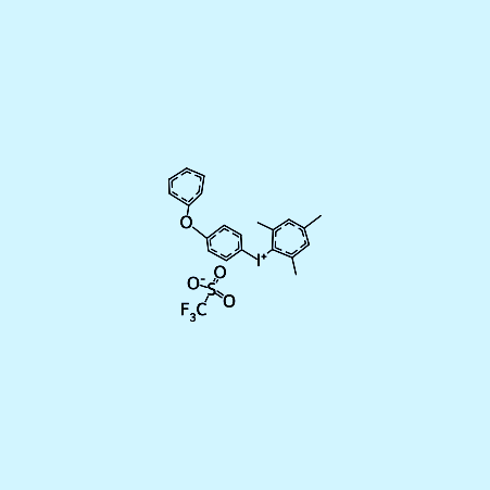 Cc1cc(C)c([I+]c2ccc(Oc3ccccc3)cc2)c(C)c1.O=S(=O)([O-])C(F)(F)F